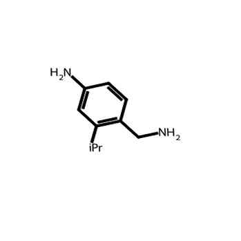 CC(C)c1cc(N)ccc1CN